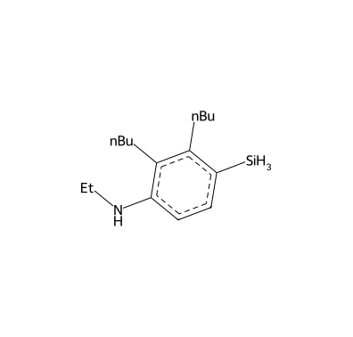 CCCCc1c([SiH3])ccc(NCC)c1CCCC